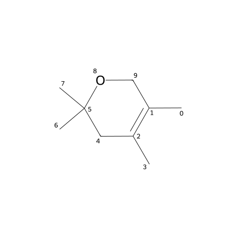 CC1=C(C)CC(C)(C)OC1